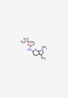 Cc1cn(C)c2nc(NC(=O)OC(C)(C)C)ccc12